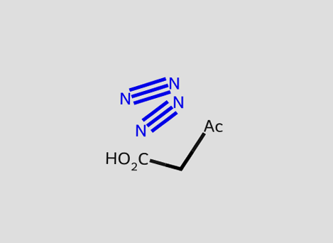 CC(=O)CC(=O)O.N#N.N#N